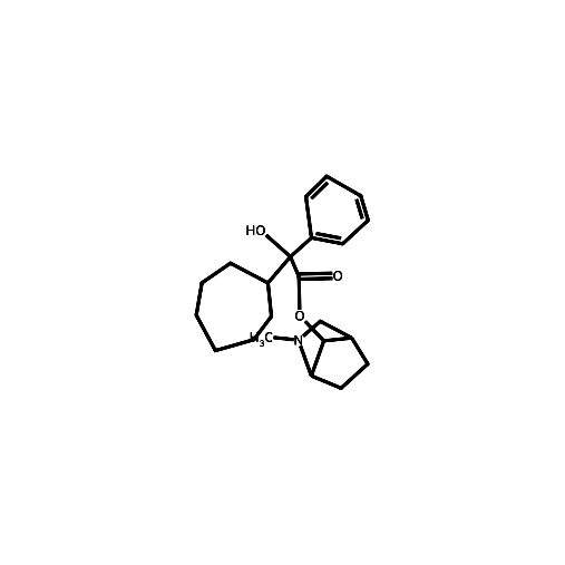 CN1CC2CCC1C2OC(=O)C(O)(c1ccccc1)C1CCCCCC1